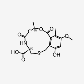 COc1cc(O)c2c(c1C)C(=O)O[C@H](C)CC(=O)N[C@H](C(=O)O)CSC2